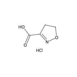 Cl.O=C(O)C1=NOCC1